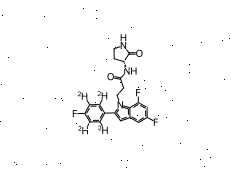 [2H]c1c([2H])c(-c2cc3cc(F)cc(F)c3n2CCC(=O)N[C@H]2CCNC2=O)c([2H])c([2H])c1F